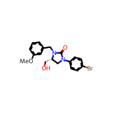 COc1cccc(CN2C(=O)N(c3ccc(Br)cc3)C[C@@H]2CO)c1